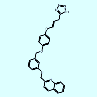 C(=COc1ccc(OCc2cccc(OCc3ccc4ccccc4n3)c2)cc1)Cc1nnn[nH]1